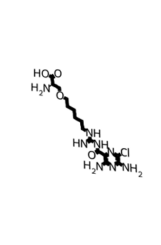 N=C(NCCCCCCOC[C@H](N)C(=O)O)NC(=O)c1nc(Cl)c(N)nc1N